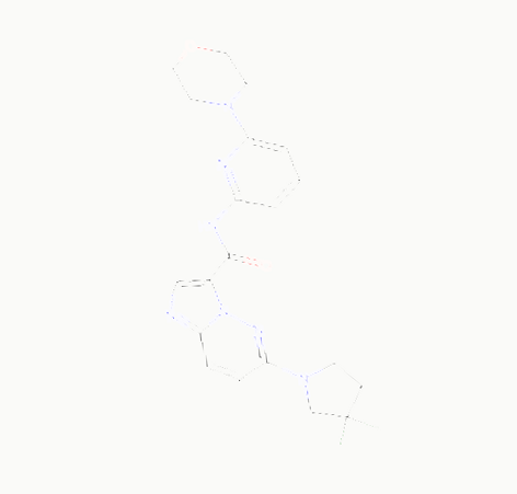 O=C(Nc1cccc(N2CCOCC2)n1)c1cnc2ccc(N3CCC(F)(F)C3)nn12